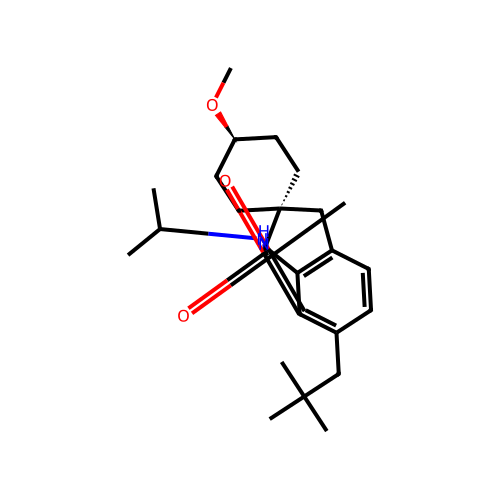 CO[C@H]1CC[C@]2(CC1)Cc1ccc(CC(C)(C)C)cc1C21NC(=O)N(C(C)C)C1=O